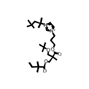 CCC(C)(C)C(=O)OCC(C)(COC(C)(C)C)C(=O)OCCC[n+]1ccn(C(C)(C)CC(C)(C)C)c1